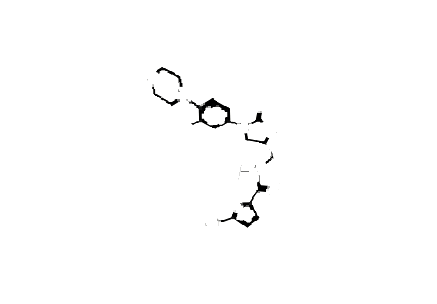 O=C(NC[C@H]1CN(c2ccc(N3CCOCC3)c(F)c2)C(=O)O1)c1ccc(Cl)o1